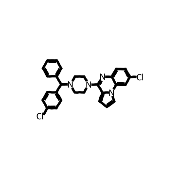 Clc1ccc(C(c2ccccc2)N2CCN(c3nc4ccc(Cl)cc4n4cccc34)CC2)cc1